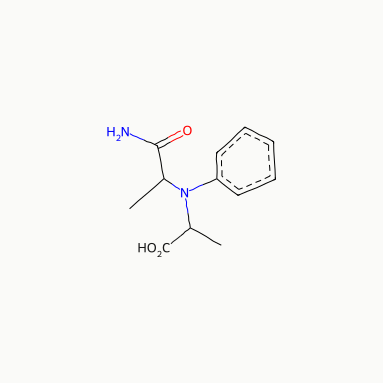 CC(C(N)=O)N(c1ccccc1)C(C)C(=O)O